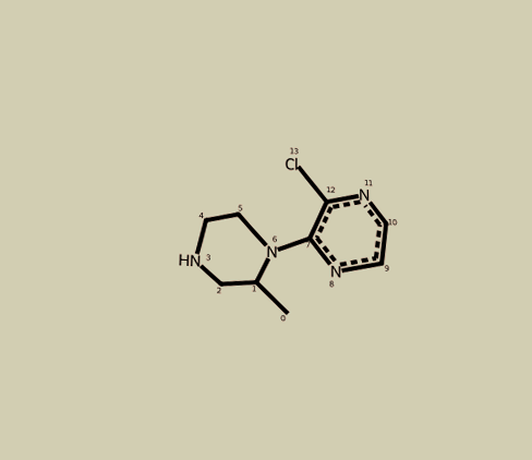 CC1CNCCN1c1nccnc1Cl